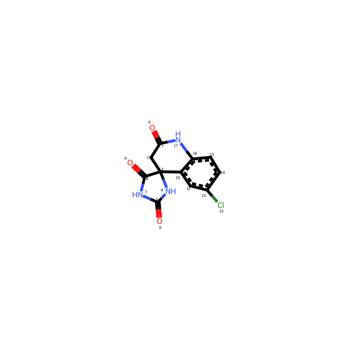 O=C1CC2(NC(=O)NC2=O)c2cc(Cl)ccc2N1